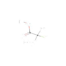 CCOC(=O)C(F)(CC)C(=O)O